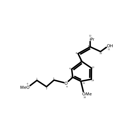 COCCCOc1cc(C=C(CO)C(C)C)ccc1OC